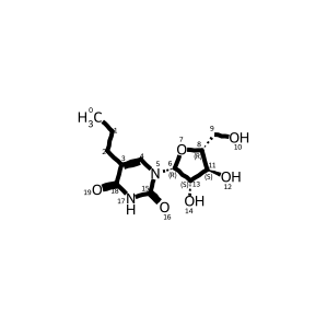 CCCc1cn([C@@H]2O[C@H](CO)[C@@H](O)[C@@H]2O)c(=O)[nH]c1=O